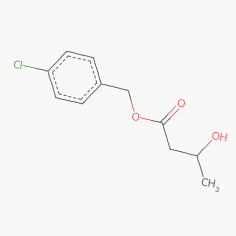 CC(O)CC(=O)OCc1ccc(Cl)cc1